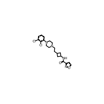 O=C(NC1CC(CCN2CCN(c3cccc(Cl)c3Cl)CC2)C1)c1ccon1